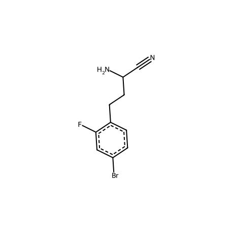 N#CC(N)CCc1ccc(Br)cc1F